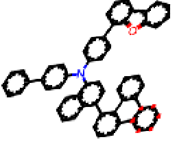 c1ccc(-c2ccc(N(c3ccc(-c4cccc5c4oc4ccccc45)cc3)c3ccc(-c4cccc(-c5ccccc5)c4-c4ccccc4-c4ccccc4)c4ccccc34)cc2)cc1